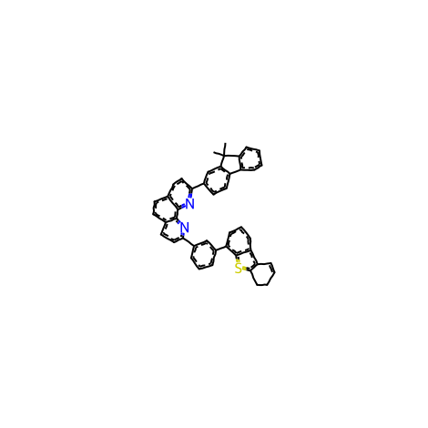 CC1(C)c2ccccc2-c2ccc(-c3ccc4ccc5ccc(-c6cccc(-c7cccc8c9c(sc78)CCC=C9)c6)nc5c4n3)cc21